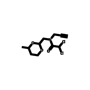 C#CCN(CC1OCCC(C)O1)C(=O)C(Cl)Cl